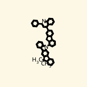 CC1(C)c2ccccc2-c2cc3c(cc21)c1ccccc1n3-c1cccc2c1Cc1cc(-c3cc(-c4ccccc4)nc4ccccc34)ccc1-2